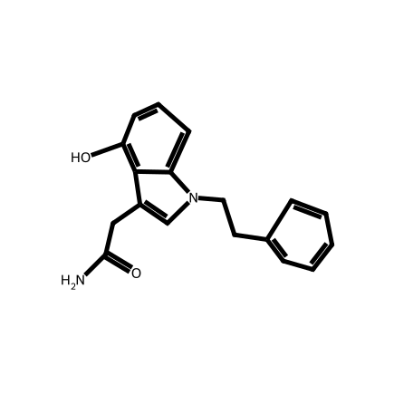 NC(=O)Cc1cn(CCc2ccccc2)c2cccc(O)c12